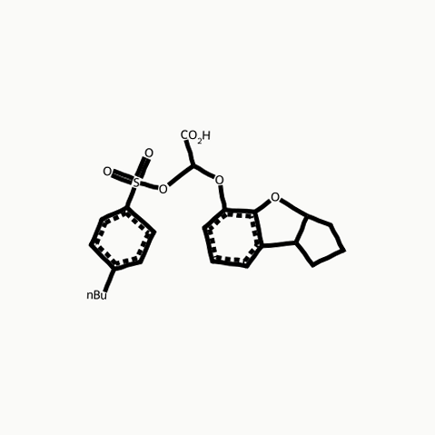 CCCCc1ccc(S(=O)(=O)OC(Oc2cccc3c2OC2CCCC32)C(=O)O)cc1